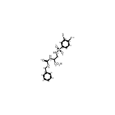 O=C(NC(CNS(=O)(=O)c1ccc(F)c(F)c1)C(=O)O)OCc1ccccc1